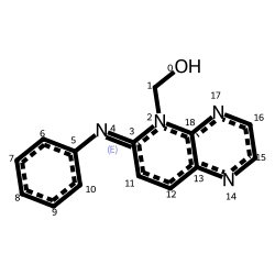 OCn1/c(=N/c2ccccc2)ccc2nccnc21